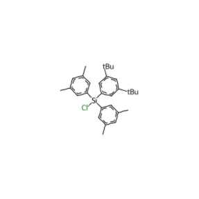 Cc1cc(C)cc([Si](Cl)(c2cc(C)cc(C)c2)c2cc(C(C)(C)C)cc(C(C)(C)C)c2)c1